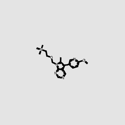 COc1ccc(-c2c(C)n(COCC[Si](C)(C)C)c3ncncc23)cn1